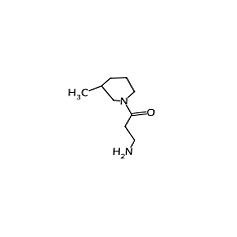 CC1CCCN(C(=O)CCN)C1